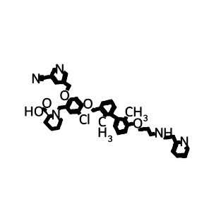 Cc1c(COc2cc(OCc3cncc(C#N)c3)c(CN3CCCC[C@H]3C(=O)O)cc2Cl)cccc1-c1cccc(OCCCNCCc2ccccn2)c1C